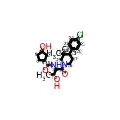 CC(O)[C@@H](NC(=O)[C@@H]1CC[C@@H](O)C1)C(=O)N1CCC(c2ccc(Cl)cc2)C(C)(C)C1